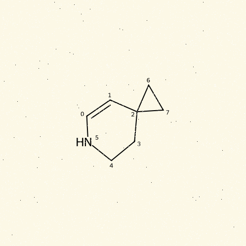 C1=CC2(CCN1)CC2